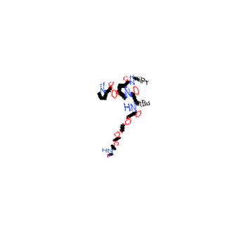 CC(C)CNC(=O)C1CC(OC(=O)C2CCCN2)CN1C(=O)C(NC(=O)COCCOCCOCCNCI)C(C)(C)C